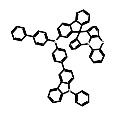 c1ccc(-c2ccc(N(c3ccc(-c4ccc5c(c4)c4ccccc4n5-c4ccccc4)cc3)c3ccc4c(c3)C3(c5ccccc5-4)c4ccccc4N4c5ccccc5Oc5cccc3c54)cc2)cc1